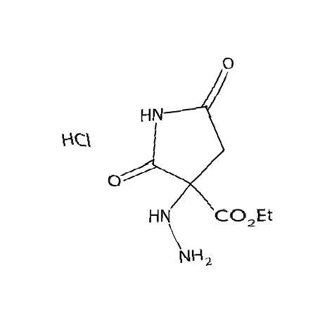 CCOC(=O)C1(NN)CC(=O)NC1=O.Cl